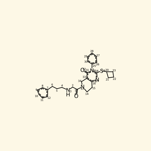 O=C(CNCCCc1ccccc1)N1CCc2nc(SC3CCC3)n(-c3ccccc3)c(=O)c2C1